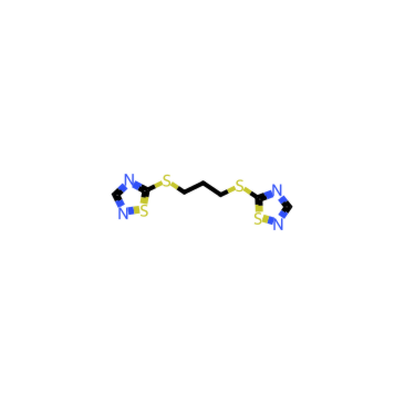 c1nsc(SCCCSc2ncns2)n1